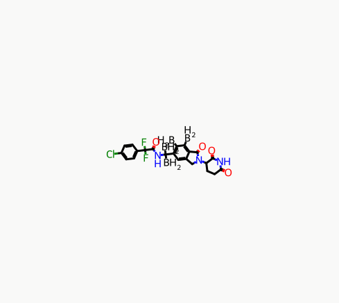 Bc1c(C(B)(B)NC(=O)C(F)(F)c2ccc(Cl)cc2)cc2c(c1B)C(=O)N(C1CCC(=O)NC1=O)C2